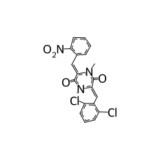 Cn1c(=O)c(=Cc2c(Cl)cccc2Cl)n(C)c(=O)c1=Cc1ccccc1[N+](=O)[O-]